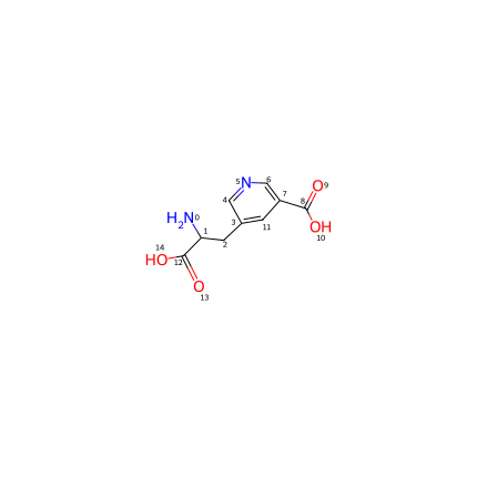 NC(Cc1cncc(C(=O)O)c1)C(=O)O